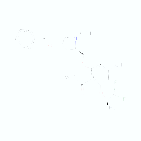 COC(=O)c1c(OC[C@H]2C[C@H](OCc3ccccc3)CN2C(=O)O)cc(C)cc1O[C@H](C)C(F)F